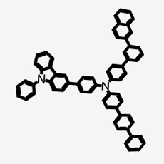 c1ccc(-c2ccc(-c3ccc(N(c4ccc(-c5cccc(-c6ccc7ccccc7c6)c5)cc4)c4ccc(-c5ccc6c(c5)c5ccccc5n6-c5ccccc5)cc4)cc3)cc2)cc1